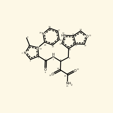 Cc1ncc(C(=O)NC(Cc2c[nH]c3cocc23)C(=O)C(N)=O)n1-c1ccccn1